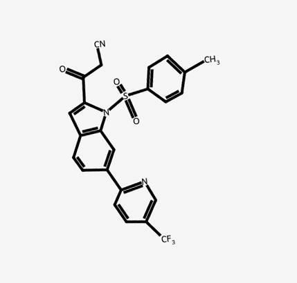 Cc1ccc(S(=O)(=O)n2c(C(=O)CC#N)cc3ccc(-c4ccc(C(F)(F)F)cn4)cc32)cc1